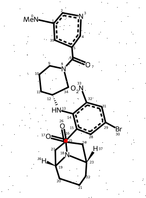 CNc1cncc(C(=O)N2CCC[C@@H](Nc3c(C(=O)N4[C@@H]5CCC[C@H]4CC(=O)C5)cc(Br)cc3[N+](=O)[O-])C2)c1